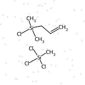 C=CC[Si](C)(C)Cl.C[Si](Cl)(Cl)Cl